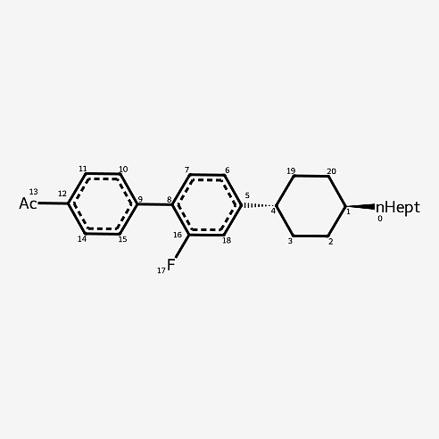 CCCCCCC[C@H]1CC[C@H](c2ccc(-c3ccc(C(C)=O)cc3)c(F)c2)CC1